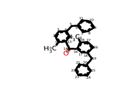 Cc1ccc(Cc2ccccc2)cc1C(=O)c1cc(Cc2ccccc2)ccc1C